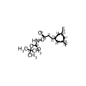 CC(C)(C)OC(=O)NOC(=O)CCc1cc(F)cc(F)c1